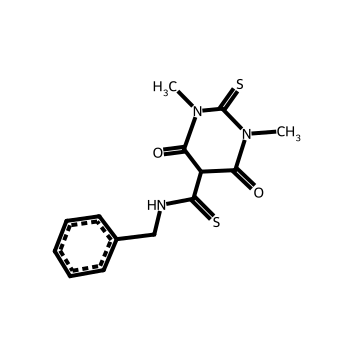 CN1C(=O)C(C(=S)NCc2ccccc2)C(=O)N(C)C1=S